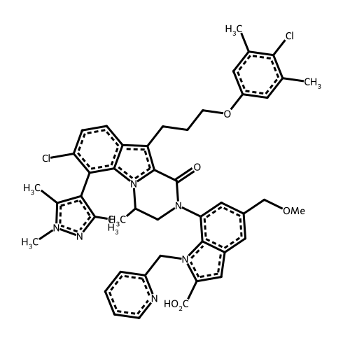 COCc1cc(N2CC(C)n3c(c(CCCOc4cc(C)c(Cl)c(C)c4)c4ccc(Cl)c(-c5c(C)nn(C)c5C)c43)C2=O)c2c(c1)cc(C(=O)O)n2Cc1ccccn1